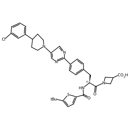 CC(C)(C)c1ccc(C(=O)N[C@@H](Cc2ccc(-c3ncc(N4CCC(c5cccc(Cl)c5)CC4)cn3)cc2)C(=O)N2CC(C(=O)O)C2)s1